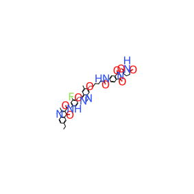 CCc1ccc2c(c1)c(=O)c(C(=O)Nc1ccc(Oc3ncnc4cc(OCCCCC(=O)Nc5ccc6c(c5)C(=O)N(C5CCC(=O)NC5=O)C6=O)c(C)cc34)c(F)c1)c(C)n2C